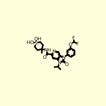 CC(C)n1c(=O)n(-c2cccc(OC(F)F)c2)c2cnc(C(=O)NC3(C)CCS(O)(O)CC3)cc21